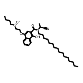 CCCCCCCCCCCCCCCCN(C(=O)c1cc(OCC[S+]([O-])CCCC)c2ccccc2c1O)C(C)C#N